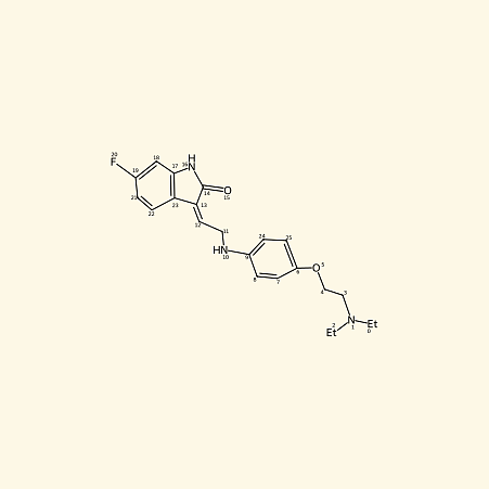 CCN(CC)CCOc1ccc(NC/C=C2\C(=O)Nc3cc(F)ccc32)cc1